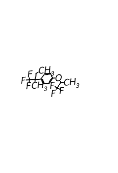 CCC(C)(c1ccc(OC(C)C(F)(F)F)cc1)C(F)(F)F